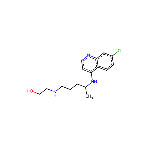 CC(CCCNCCO)Nc1ccnc2cc(Cl)ccc12